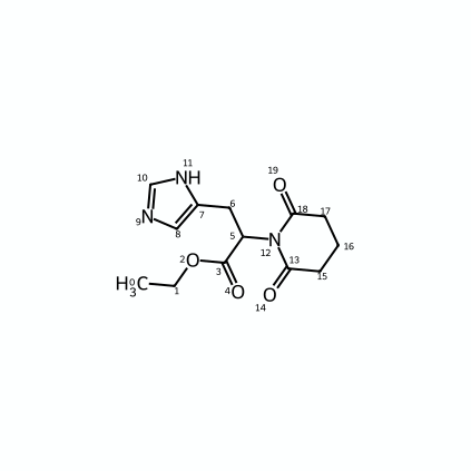 CCOC(=O)C(Cc1cnc[nH]1)N1C(=O)CCCC1=O